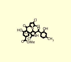 COC(=O)c1ccc(C(=O)c2cc(Cl)c(Cl)n2-c2c(C(=O)c3ccc(C)cc3O)[nH]c(Cl)c2Cl)c(O)c1